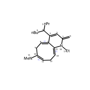 C=C1C=C(C(CCC)CCCC)C2=C/C/C(NC)=C\C/C=C\2N1CC